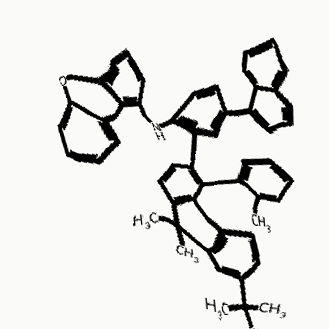 Cc1ccccc1-c1c(-c2cc(-c3cccc4ccccc34)ccc2Nc2cccc3oc4ccccc4c23)ccc2c1-c1ccc(C(C)(C)C)cc1C2(C)C